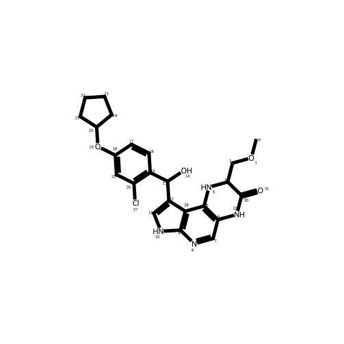 COCC1Nc2c(cnc3[nH]cc(C(O)c4ccc(OC5CCCC5)cc4Cl)c23)NC1=O